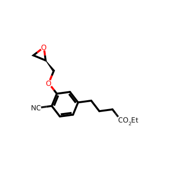 CCOC(=O)CCCc1ccc(C#N)c(OC[C@H]2CO2)c1